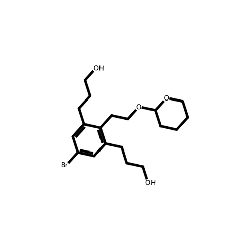 OCCCc1cc(Br)cc(CCCO)c1CCOC1CCCCO1